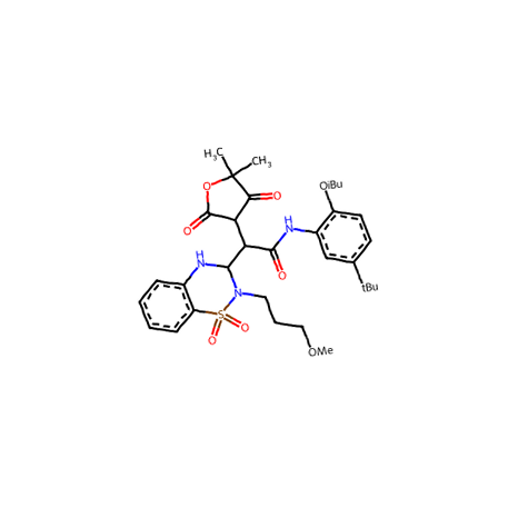 COCCCN1C(C(C(=O)Nc2cc(C(C)(C)C)ccc2OCC(C)C)C2C(=O)OC(C)(C)C2=O)Nc2ccccc2S1(=O)=O